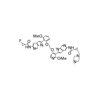 COc1cccc(OCCOc2ccnc(OC)c2-c2cc3cc(NC(=O)C4CC4CN4CCN(C)CC4)ncc3n2C)c1-c1cc2cc(NC(=O)C3CC3F)ncc2n1C